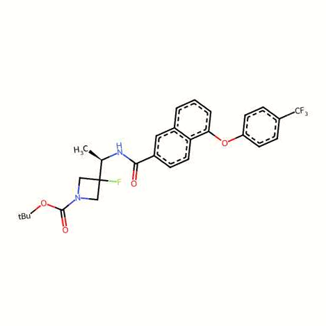 C[C@@H](NC(=O)c1ccc2c(Oc3ccc(C(F)(F)F)cc3)cccc2c1)C1(F)CN(C(=O)OC(C)(C)C)C1